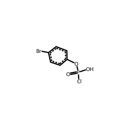 O=P(O)(Cl)Oc1ccc(Br)cc1